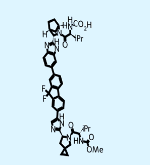 COC(=O)N[C@H](C(=O)N1CC2(CC2)C[C@H]1c1ncc(-c2ccc3c(c2)C(F)(F)c2cc(-c4ccc5nc([C@@H]6[C@H]7CC[C@H](C7)N6C(=O)[C@@H](NC(=O)O)C(C)C)[nH]c5c4)ccc2-3)[nH]1)C(C)C